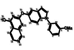 COc1cccc(-n2ccc3cc(Oc4nc(O)c5ccncc5n4)ccc32)c1